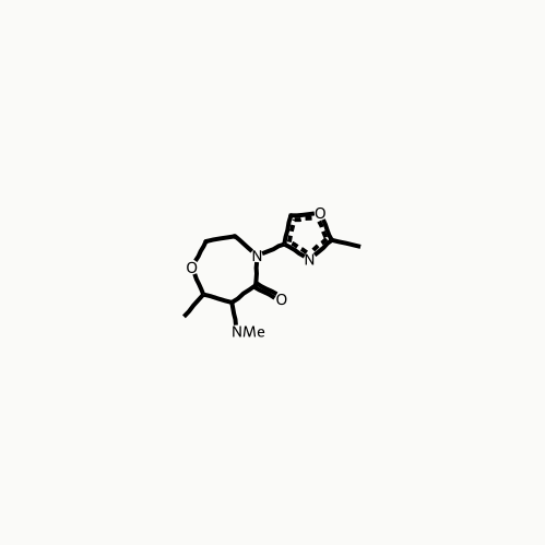 CNC1C(=O)N(c2coc(C)n2)CCOC1C